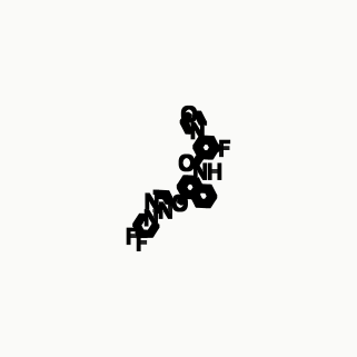 O=C(Nc1ccc(Oc2ccnc(N3CCC(F)(F)CC3)n2)c2ccccc12)c1cc(F)cc(N2CCOCC2)c1